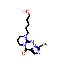 CC(C)c1ncc2c(=O)n3c(nn12)N(CCCCCO)CCC3